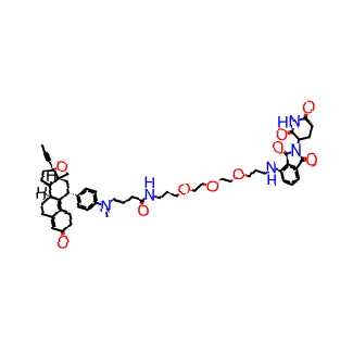 CC#C[C@]12CC[C@H]3[C@@H]4CCC5=CC(=O)CCC5=C4[C@@H](c4ccc(N(C)CCCC(=O)NCCCOCCOCCOCCCNc5cccc6c5C(=O)N(C5CCC(=O)NC5=O)C6=O)cc4)C[C@@]31CO2